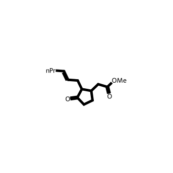 CCC/C=C/CC1C(=O)CCC1CC(=O)OC